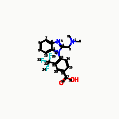 CN(C)Cc1nc2ccccc2n1-c1ccc(C(=O)O)cc1C(F)(F)F